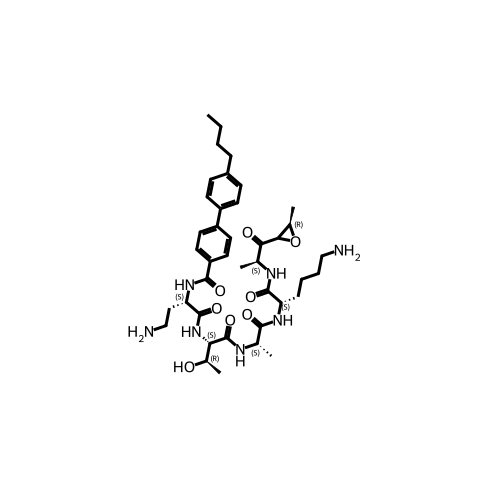 CCCCc1ccc(-c2ccc(C(=O)N[C@@H](CCN)C(=O)N[C@H](C(=O)N[C@@H](C)C(=O)N[C@@H](CCCCN)C(=O)N[C@@H](C)C(=O)C3O[C@@H]3C)[C@@H](C)O)cc2)cc1